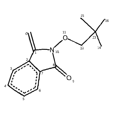 C=C1c2ccccc2C(=O)N1OCC(C)(C)C